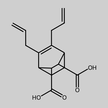 C=CCC1=C(CC=C)C2CCC1C(C(=O)O)C2C(=O)O